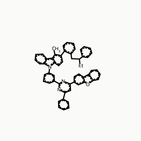 CCC(Cc1ccccc1-c1ccc2c(c1C)c1ccccc1n2-c1cccc(-c2nc(-c3ccccc3)cc(-c3ccc4c(c3)oc3ccccc34)n2)c1)c1ccccc1